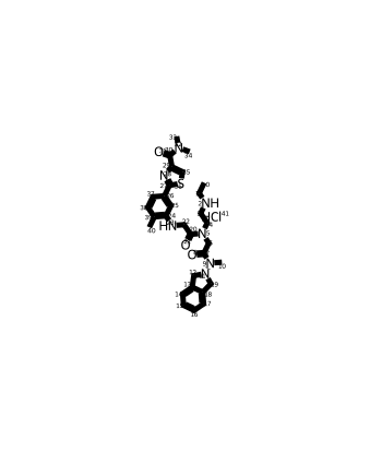 CCNCCN(CC(=O)N(C)N1Cc2ccccc2C1)C(=O)CNc1cc(-c2nc(C(=O)N(C)C)cs2)ccc1C.Cl